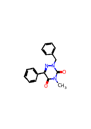 Cn1c(=O)c(-c2ccccc2)nn(Cc2ccccc2)c1=O